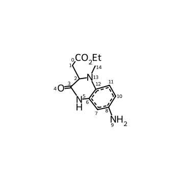 CCOC(=O)CC1C(=O)Nc2cc(N)ccc2N1C